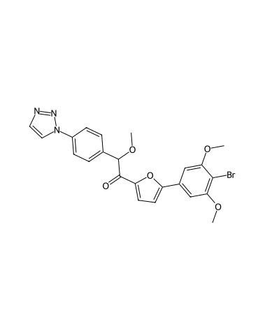 COc1cc(-c2ccc(C(=O)C(OC)c3ccc(-n4ccnn4)cc3)o2)cc(OC)c1Br